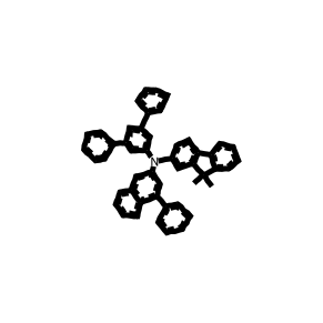 CC1(C)c2ccccc2-c2ccc(N(c3cc(-c4ccccc4)cc(-c4ccccc4)c3)c3cc(-c4ccccc4)c4ccccc4c3)cc21